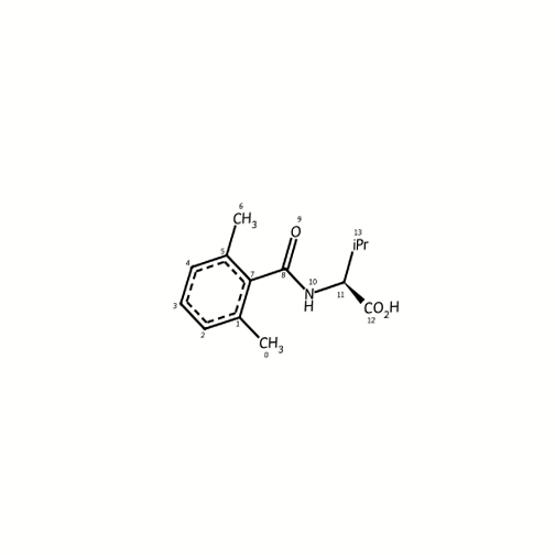 Cc1cccc(C)c1C(=O)N[C@H](C(=O)O)C(C)C